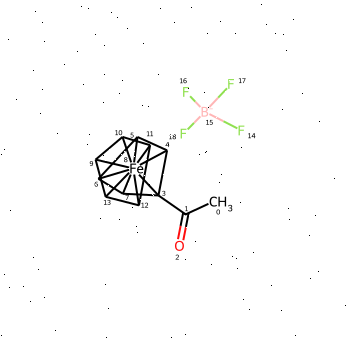 CC(=O)[C]12[CH]3[CH]4[CH]5[CH]1[Fe]45321678[CH]2[CH]1[CH]6[CH]7[CH]28.F[B-](F)(F)F